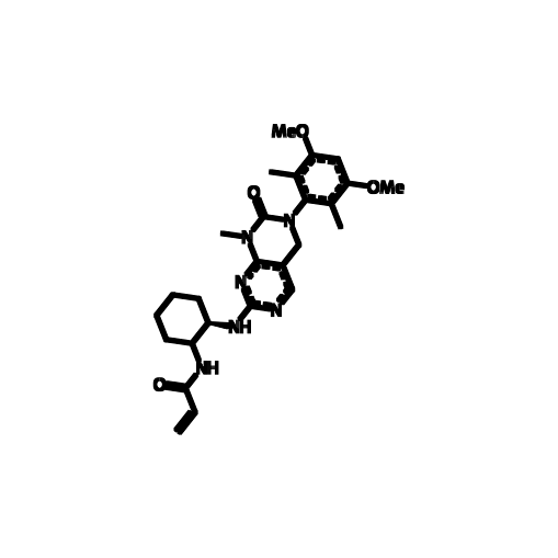 C=CC(=O)NC1CCCC[C@H]1Nc1ncc2c(n1)N(C)C(=O)N(c1c(C)c(OC)cc(OC)c1C)C2